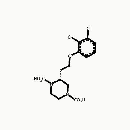 O=C(O)N1CCN(C(=O)O)[C@H](CCOc2cccc(Cl)c2Cl)C1